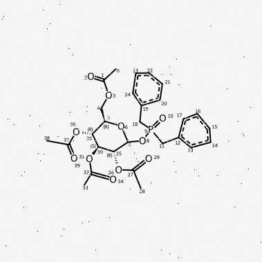 CC(=O)OC[C@H]1OC(OP(=O)(Cc2ccccc2)Cc2ccccc2)[C@H](OC(C)=O)[C@@H](OC(C)=O)[C@@H]1OC(C)=O